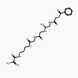 C=C(C)C(=O)NCCCNC(=O)CNC(=O)CNC(O)CNC(=O)CSC(=O)c1ccccc1